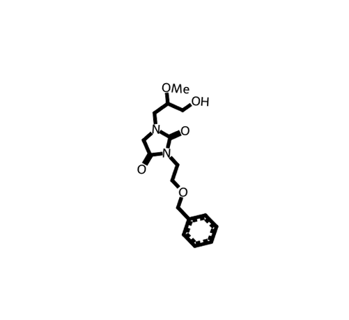 COC(CO)CN1CC(=O)N(CCOCc2ccccc2)C1=O